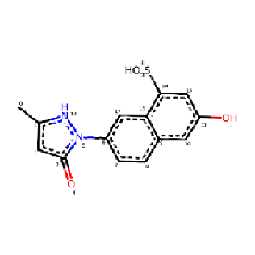 Cc1cc(=O)n(-c2ccc3cc(O)cc(S(=O)(=O)O)c3c2)[nH]1